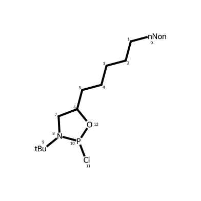 CCCCCCCCCCCCCCC1CN(C(C)(C)C)P(Cl)O1